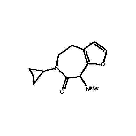 CNC1C(=O)N(C2CC2)CCc2ccoc21